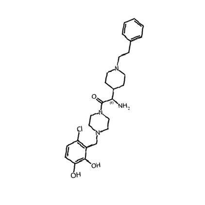 N[C@@H](C(=O)N1CCN(Cc2c(Cl)ccc(O)c2O)CC1)C1CCN(CCc2ccccc2)CC1